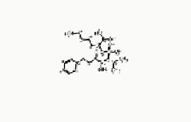 CC(C)[C@H](N(N)C(=O)CCc1ccccc1)P(=O)(O)O[C@@H](CCCCN)C(=O)O